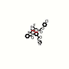 CC(C)Oc1ccc(C(=O)Cn2ccnc2)cc1-n1c(CN2CCN(C(=O)COc3ccc(Cl)cc3)CC2C(F)F)nc2ccccc2c1=O